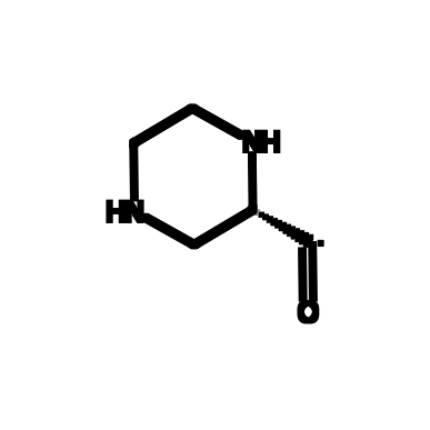 O=[C][C@@H]1CNCCN1